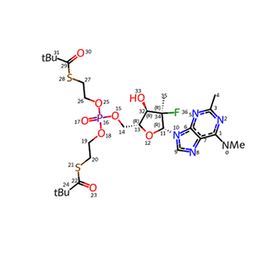 CNc1nc(C)nc2c1ncn2[C@@H]1O[C@H](COP(=O)(OCCSC(=O)C(C)(C)C)OCCSC(=O)C(C)(C)C)[C@@H](O)[C@@]1(C)F